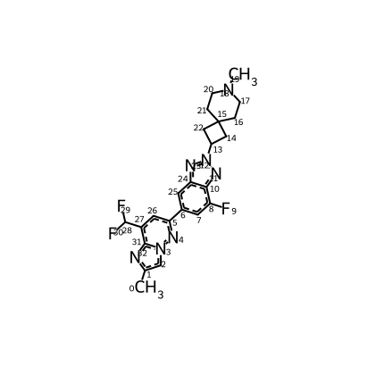 Cc1cn2nc(-c3cc(F)c4nn(C5CC6(CCN(C)CC6)C5)nc4c3)cc(C(F)F)c2n1